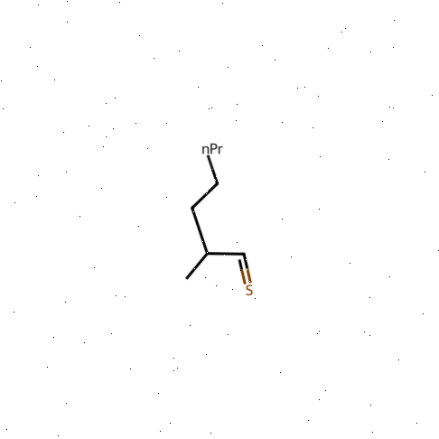 CCCCCC(C)C=S